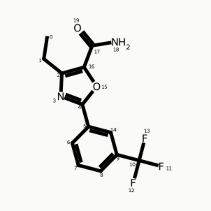 CCc1nc(-c2cccc(C(F)(F)F)c2)oc1C(N)=O